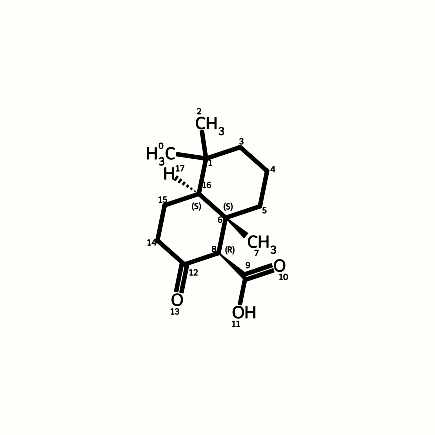 CC1(C)CCC[C@]2(C)[C@@H](C(=O)O)C(=O)CC[C@@H]12